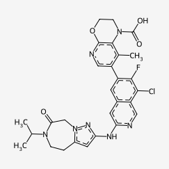 Cc1c(-c2cc3cc(Nc4cc5n(n4)CC(=O)N(C(C)C)CC5)ncc3c(Cl)c2F)cnc2c1N(C(=O)O)CCO2